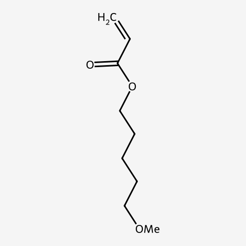 C=CC(=O)OCCCCCOC